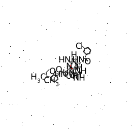 CC1(C)CCOc2c(C(=O)N[C@H]3CN4C(=N)N[C@@H](CNC(=O)c5cccc(Cl)c5)[C@@H]5NC(=N)NC54C3(O)O)cccc21